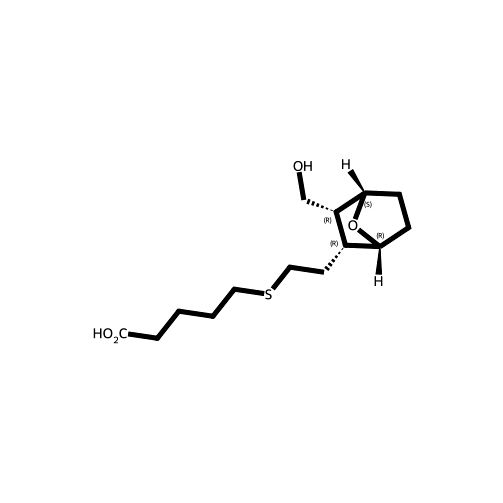 O=C(O)CCCCSCC[C@@H]1[C@H](CO)[C@@H]2CC[C@H]1O2